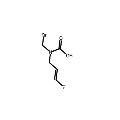 O=C(O)N(CBr)CC=CF